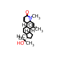 CCC(C)(O)[C@H]1CC[C@H]2[C@@H]3C(C)CC4N(C)C(=O)C=C[C@]4(C)[C@H]3CC[C@]12C